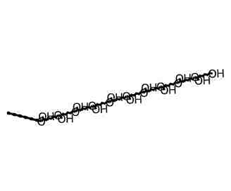 C#CC#CC#CC#CC#CC#COC(O)CCCCCOC(O)CCCCCOC(O)CCCCCOC(O)CCCCCOC(O)CCCCCOC(O)CCCCCOC(O)CCCCCOC(O)CCCCCOC(O)CCCCCOC(O)CCCCCO